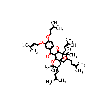 CC(C)=CCOc1ccc(C(=O)C2=C3OC(C)(C)C(CC=C(C)C)CC34CC(CC=C(C)C)C(C)(C)C(CC=C(C)C)(C2=O)C4=O)cc1OCC=C(C)C